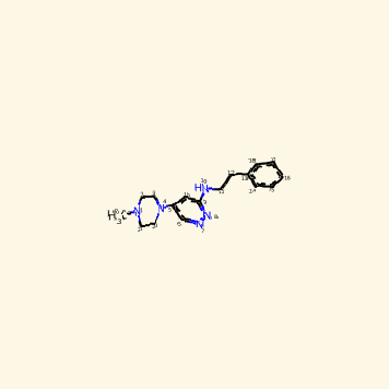 CN1CCN(c2cnnc(NCCc3ccccc3)c2)CC1